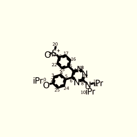 CC(C)Oc1ccc(-c2nc(N(C(C)C)C(C)C)nnc2-c2ccc([S+](C)[O-])cc2)cc1